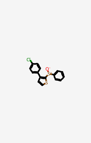 [O-][S+](c1ccccc1)c1sccc1-c1ccc(Cl)cc1